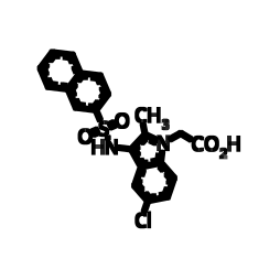 Cc1c(NS(=O)(=O)c2ccc3ccccc3c2)c2cc(Cl)ccc2n1CC(=O)O